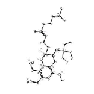 CC[Si](CC)(CC)OC1Cc2c(OC)cc(CO)c(CO)c2O[C@@]1(C)CC/C=C(\C)CCC=C(C)C